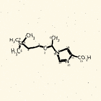 CC(OCC[Si](C)(C)C)n1cnc(C(=O)O)c1